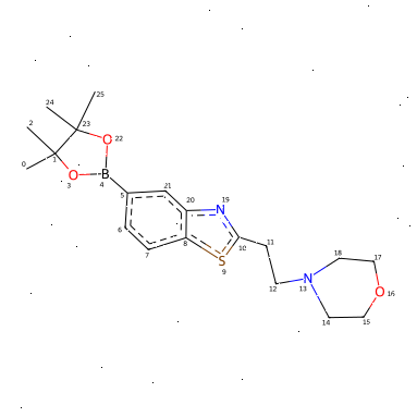 CC1(C)OB(c2ccc3sc(CCN4CCOCC4)nc3c2)OC1(C)C